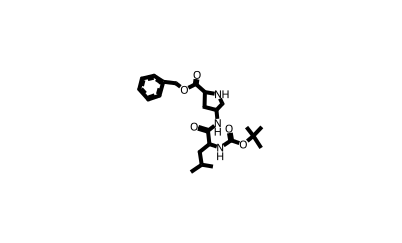 CC(C)CC(NC(=O)OC(C)(C)C)C(=O)NC1CNC(C(=O)OCc2ccccc2)C1